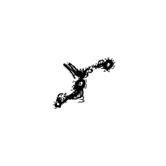 CN1CCCC1CCOc1ccc(-c2nnc(CSCCOc3ccccc3)o2)cc1